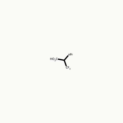 C[CH]CC(C(=O)O)C(F)(F)F